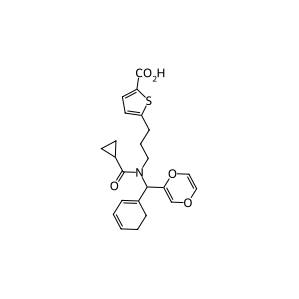 O=C(O)c1ccc(CCCN(C(=O)C2CC2)C(C2=CC=CCC2)C2=COC=CO2)s1